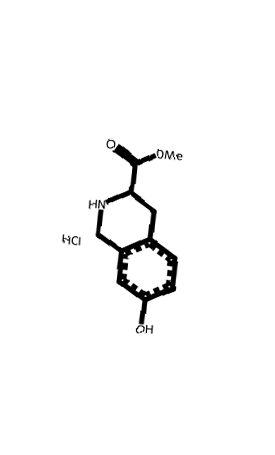 COC(=O)C1Cc2ccc(O)cc2CN1.Cl